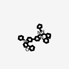 C1=CC2Oc3ccccc3C2c2c1n(-c1ccccc1)c1ccc(-c3ccc4c(c3)c3nc(-c5ccccc5)nc(-c5ccccc5)c3n4-c3ccccc3)cc21